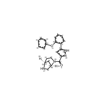 O=C(c1cc(-c2ccccc2Oc2ccccc2)[nH]n1)N1CC[C@H]2C[C@@H]1CN2